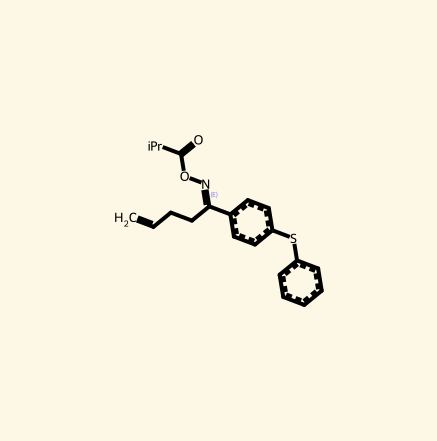 C=CCC/C(=N\OC(=O)C(C)C)c1ccc(Sc2ccccc2)cc1